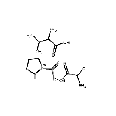 CC(C)C(N)C(=O)O.CC(N)C(=O)O.O=C(O)[C@@H]1CCCN1